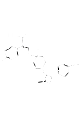 CC(O)/C(=C/CC1(F)C=CC(N2C(=O)C[C@H]2c2ccc(O)cc2)CC1)c1ccc(F)cc1